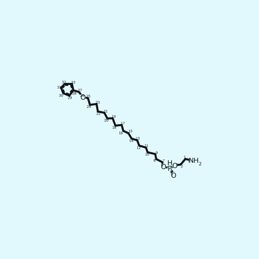 NCCO[PH](=O)OCCCCCCCCCCCCCCCCCCCOCc1ccccc1